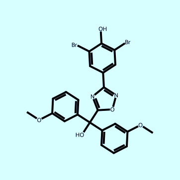 COc1cccc(C(O)(c2cccc(OC)c2)c2nc(-c3cc(Br)c(O)c(Br)c3)no2)c1